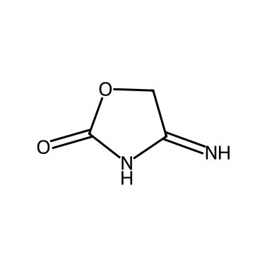 N=C1COC(=O)N1